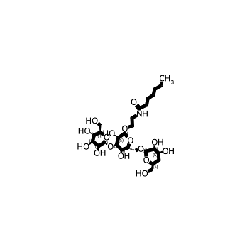 CCCCCCC(=O)NCCO[C@H]1O[C@H](CO[C@H]2O[C@H](CO)C[C@H](O)[C@@H]2O)[C@@H](O)[C@H](O[C@H]2O[C@H](CO)[C@@H](O)[C@H](O)[C@@H]2O)[C@@H]1O